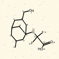 CC1CC2CC(CO)CC(OC(F)(F)C(=O)O)(C1)C2